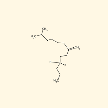 C=C(CCCCC(C)C)CCC(F)(F)CCC